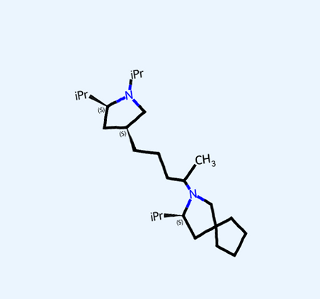 CC(C)[C@@H]1C[C@H](CCCC(C)N2CC3(CCCC3)C[C@H]2C(C)C)CN1C(C)C